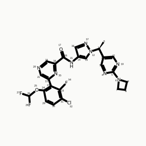 C[C@@H](c1cnc(N2CCC2)nc1)n1cc(NC(=O)c2cncc(-c3c(OC(F)F)ccc(Cl)c3F)n2)cn1